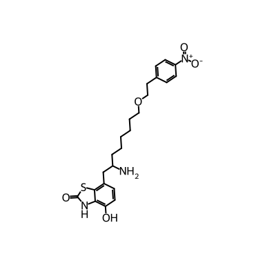 NC(CCCCCCOCCc1ccc([N+](=O)[O-])cc1)Cc1ccc(O)c2[nH]c(=O)sc12